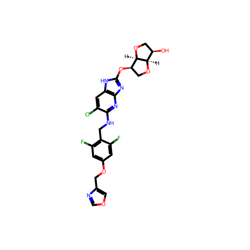 O[C@@H]1CO[C@H]2[C@@H]1OC[C@H]2Oc1nc2nc(NCc3c(F)cc(OCc4cocn4)cc3F)c(Cl)cc2[nH]1